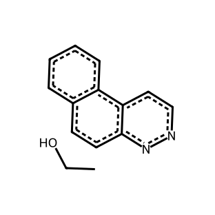 CCO.c1ccc2c(c1)ccc1nnccc12